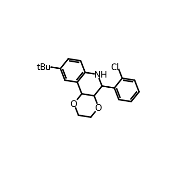 CC(C)(C)c1ccc2c(c1)C1OCCOC1C(c1ccccc1Cl)N2